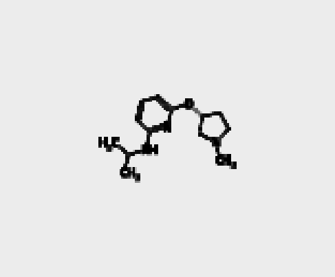 CC(C)Nc1cccc(O[C@@H]2CCN(C)C2)n1